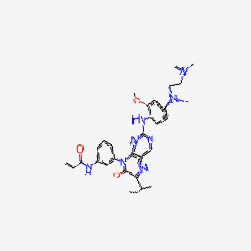 C=CC(=O)Nc1cccc(-n2c(=O)c(C(C)C)nc3cnc(Nc4ccc(N(C)CCN(C)C)cc4OC)nc32)c1